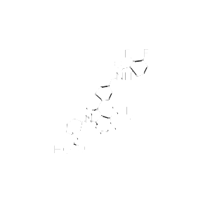 Nc1ncnc2c1c(-c1ccc(CNC(=O)c3cccc(F)c3F)cc1)nn2[C@@H]1CCCN(C(=O)O)C1